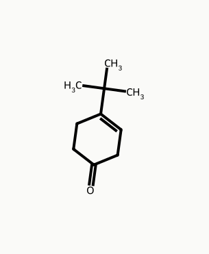 CC(C)(C)C1=CCC(=O)CC1